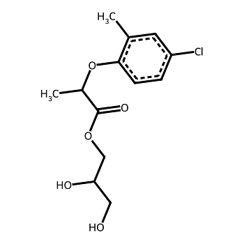 Cc1cc(Cl)ccc1OC(C)C(=O)OCC(O)CO